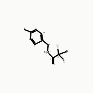 C=C(NCc1ccc(C)cc1)C(F)(F)F